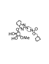 CO[C@H]1C[C@@H](Oc2nc(N3CCN(C(=O)OCc4ccccc4)CC3)nc3ccccc23)[C@H](O)[C@@H]1O